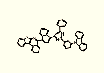 c1ccc(-c2cc(-c3ccc(-c4nc5sc6ccccc6c5c5ccccc45)c4ccccc34)nc(-c3cccc(-n4c5ccccc5c5ccccc54)c3)n2)cc1